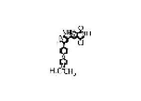 CC(C)N1CCN(c2ccc(-c3cc(-c4cc5c(Cl)c[nH]c(=O)c5cn4)c(N)nc3F)cc2)CC1